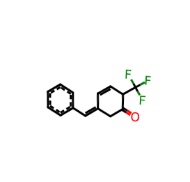 O=C1CC(=Cc2ccccc2)C=CC1C(F)(F)F